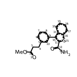 COC(=O)CCc1cccc(-c2c(C(N)=O)sc3ccccc23)c1